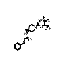 O=C(OCc1ccccc1)[C@@H]1CC12CCN(C(=O)OC(C(F)(F)F)C(F)(F)F)CC2